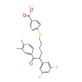 COC(=O)c1ccc(SCCCCC(C(=O)c2ccc(C)c(C)c2)c2cc(F)cc(F)c2)cc1